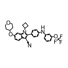 N#Cc1c(-c2ccc(Nc3cccc(OC(F)(F)F)c3)cc2)n(C2CCC2)c2cc(OC3CCOCC3)ccc12